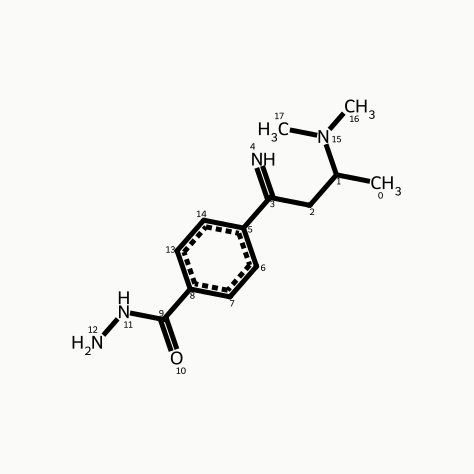 CC(CC(=N)c1ccc(C(=O)NN)cc1)N(C)C